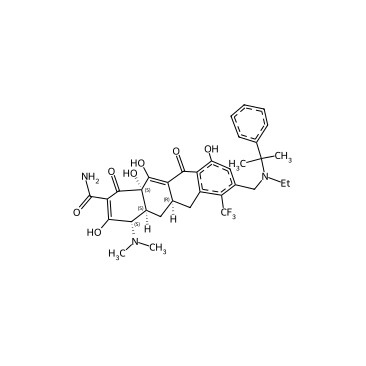 CCN(Cc1cc(O)c2c(c1C(F)(F)F)C[C@H]1C[C@H]3[C@H](N(C)C)C(O)=C(C(N)=O)C(=O)[C@@]3(O)C(O)=C1C2=O)C(C)(C)c1ccccc1